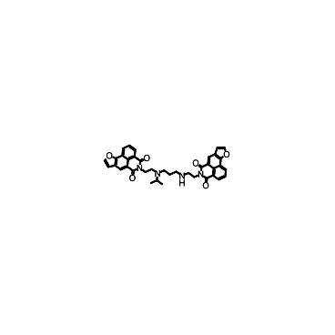 CC(C)N(CCCNCCN1C(=O)c2cccc3c2c(cc2ccoc23)C1=O)CCN1C(=O)c2cccc3c2c(cc2ccoc23)C1=O